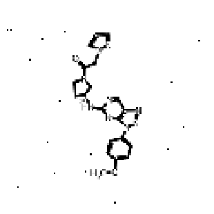 COc1ccc(-n2nnc3cnc(N[C@H]4CCN(C(=O)Cn5cccn5)C4)nc32)cc1